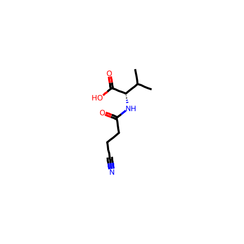 CC(C)[C@H](NC(=O)CCC#N)C(=O)O